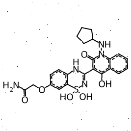 NC(=O)COc1ccc2c(c1)S(O)(O)N=C(c1c(O)c3ccccc3n(NC3CCCC3)c1=O)N2